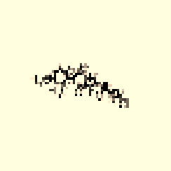 CC1CN(C)CCc2sc(C(=O)N3C[C@H](NC(=O)c4ccc(Cl)s4)C[C@H]3CO)cc21